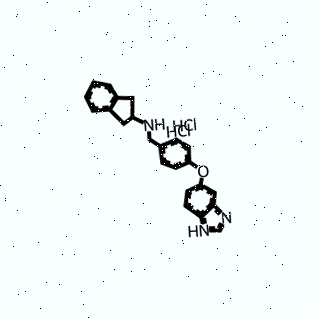 Cl.Cl.c1ccc2c(c1)CC(NCc1ccc(Oc3ccc4[nH]cnc4c3)cc1)C2